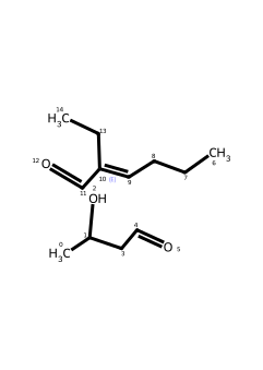 CC(O)CC=O.CCC/C=C(/C=O)CC